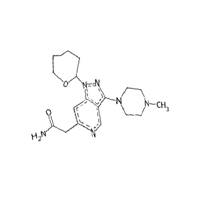 CN1CCN(c2nn(C3CCCCO3)c3cc(CC(N)=O)ncc23)CC1